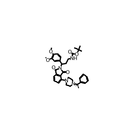 COc1ccc(C(CCNC(=O)OC(C)(C)C)N2C(=O)c3cccc(N4CCN([C@H](C)c5ccccc5)CC4)c3C2=O)cc1OC